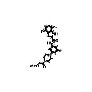 COCC(=O)N1CCN(c2cc(F)cc(NC(=O)C3Cc4c(F)ccc(C)c4N3)c2)CC1